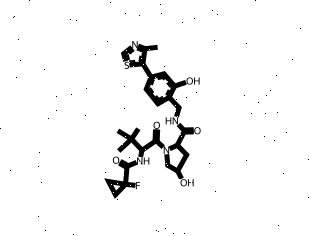 Cc1ncsc1-c1ccc(CNC(=O)C2CC(O)CN2C(=O)C(NC(=O)C2(F)CC2)C(C)(C)C)c(O)c1